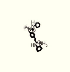 CC(C)N(Cc1ccc(/C=C/C(=O)Nc2ccccc2N)cc1)C(=O)NC1CCCCC1